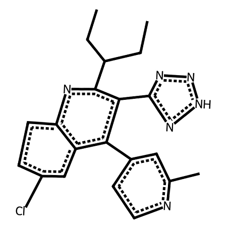 CCC(CC)c1nc2ccc(Cl)cc2c(-c2ccnc(C)c2)c1-c1nn[nH]n1